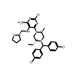 CC[C@@H]1CN(c2nc(Cl)nc(N)c2NC[C@H]2CCCO2)[C@@H](C)CN1C(c1ccc(Cl)cc1)c1ccc(Cl)cc1